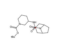 CC(C)(C)OC(=O)N1CCCC(NC(=O)N2C3CCC2CC(=O)C3)C1